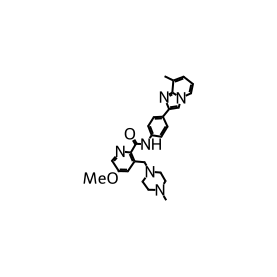 COc1cnc(C(=O)Nc2ccc(-c3cn4cccc(C)c4n3)cc2)c(CN2CCN(C)CC2)c1